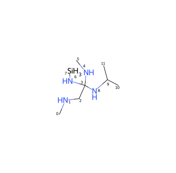 CNCC(NC)(N[SiH3])NC(C)C